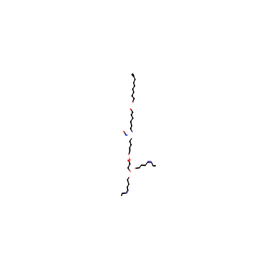 C#CCCCCCCCCOC(=O)CCCCCCCN(CCO)CCCCCCOC(=O)CCC(OCCCC/C=C\CC)OCCCC/C=C\CC